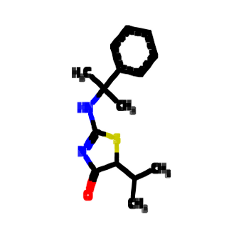 CC(C)C1SC(NC(C)(C)c2ccccc2)=NC1=O